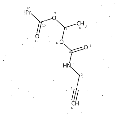 C#CCNC(=O)OC(C)OC(=O)C(C)C